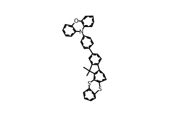 CC1(C)c2cc(-c3ccc(N4c5ccccc5Oc5ccccc54)cc3)ccc2-c2ccc3c(c21)Sc1ccccc1S3